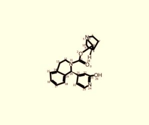 O=C(O[C@@H]1CN2CCC1CC2)N1CCc2ccccc2[C@@H]1c1ccnc(O)c1